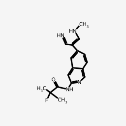 CN/C=C(\C=N)c1ccc2cnc(NC(=O)C(C)(C)F)cc2c1